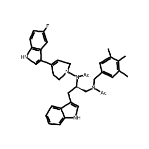 CC(=O)N(Cc1cc(C)c(C)c(C)c1)C[C@@H](Cc1c[nH]c2ccccc12)N(C(C)=O)N1CC=C(c2c[nH]c3ccc(F)cc23)CC1